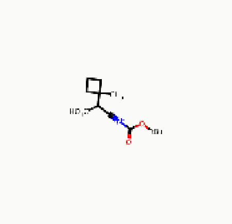 CC(C)(C)OC(=O)[N+]#CC(C(=O)O)C1(C)CCC1